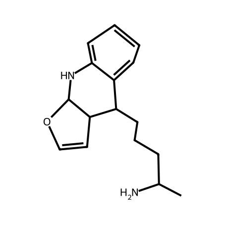 CC(N)CCCC1c2ccccc2NC2OC=CC21